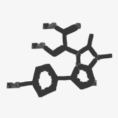 COC=C(C(=O)OC)N1C(C)N(C)c2ncc(-c3ccc(OC)cc3)n21